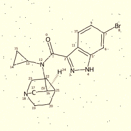 O=C(c1n[nH]c2cc(Br)ccc12)N(C1CC1)[C@@H]1CN2CCC1CC2